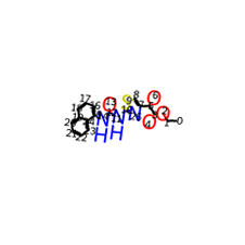 CCOC(=O)C(=O)c1csc(NC(=O)Nc2cccc3ccccc23)n1